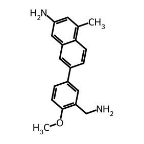 COc1ccc(-c2ccc3c(C)cc(N)cc3c2)cc1CN